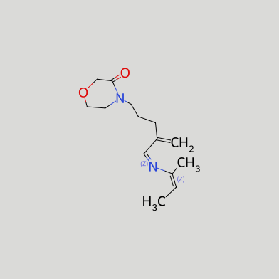 C=C(/C=N\C(C)=C/C)CCCN1CCOCC1=O